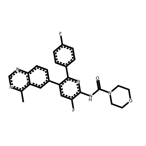 Cc1ncnc2ccc(-c3cc(F)c(NC(=O)N4CCOCC4)nc3-c3ccc(F)cc3)cc12